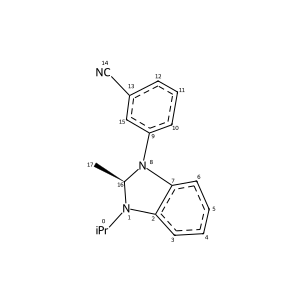 CC(C)N1c2ccccc2N(c2cccc(C#N)c2)[C@@H]1C